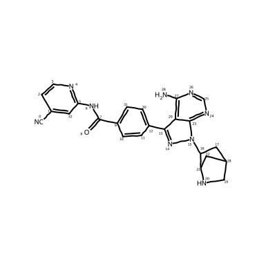 N#Cc1ccnc(NC(=O)c2ccc(-c3nn(C4CC5CNC4C5)c4ncnc(N)c34)cc2)c1